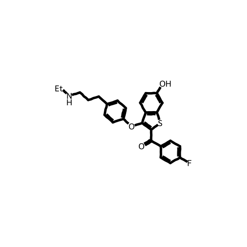 CCNCCCc1ccc(Oc2c(C(=O)c3ccc(F)cc3)sc3cc(O)ccc23)cc1